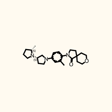 Cc1cc(N2CC[C@H](N3CCC[C@@H]3C)C2)ccc1N1CCC2(CCOCC2)C1=O